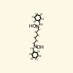 ON(CCCCCCN(O)Cc1ccccc1)Cc1ccccc1